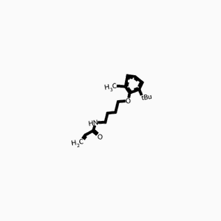 C=CC(=O)NCCCCOc1c(C)cccc1C(C)(C)C